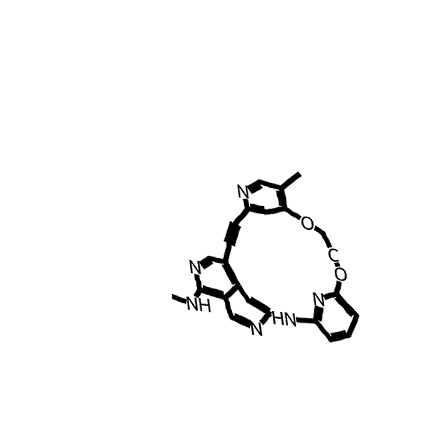 CNc1ncc2c3cc(ncc13)Nc1cccc(n1)OCCOc1cc(ncc1C)C#C2